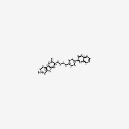 c1ccc2nc(N3CCN(CCCCC4=Nc5sc6c(c5ON4)CCNC6)CC3)ccc2c1